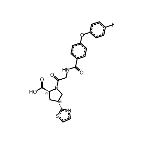 O=C(NCC(=O)N1C[C@H](c2nccs2)C[C@H]1C(=O)O)c1ccc(Oc2ccc(F)cc2)cc1